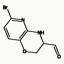 O=CC1COc2ccc(Br)nc2N1